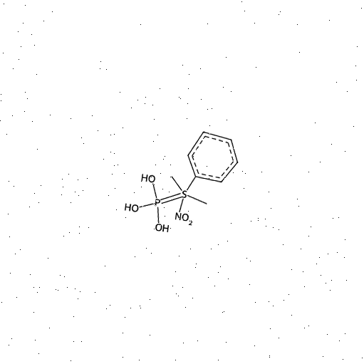 CS(C)(c1ccccc1)([N+](=O)[O-])=P(O)(O)O